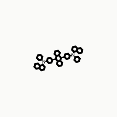 c1ccc(N(c2ccc(-c3c4ccccc4c(-c4ccc(N(c5ccccc5)c5cccc6ccccc56)cc4)c4ccccc34)cc2)c2cccc3ccccc23)cc1